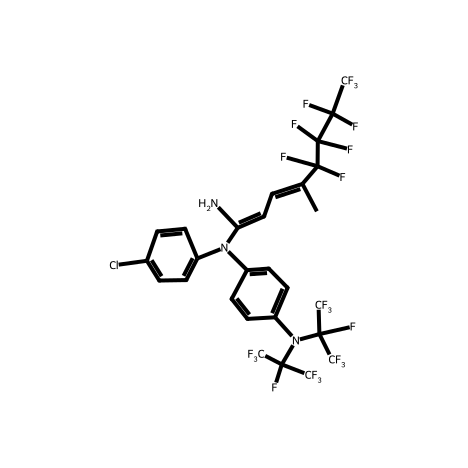 C/C(=C\C=C(/N)N(c1ccc(Cl)cc1)c1ccc(N(C(F)(C(F)(F)F)C(F)(F)F)C(F)(C(F)(F)F)C(F)(F)F)cc1)C(F)(F)C(F)(F)C(F)(F)C(F)(F)F